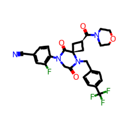 N#Cc1ccc(N2CC(=O)N(Cc3ccc(C(F)(F)F)cc3)[C@]3(C[C@H](C(=O)N4CCOCC4)C3)C2=O)c(F)c1